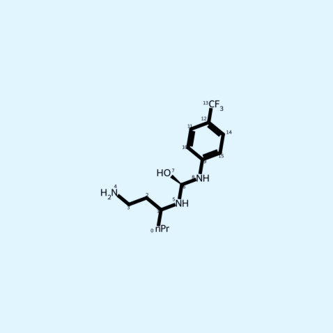 CCCC(CCN)N[C@@H](O)Nc1ccc(C(F)(F)F)cc1